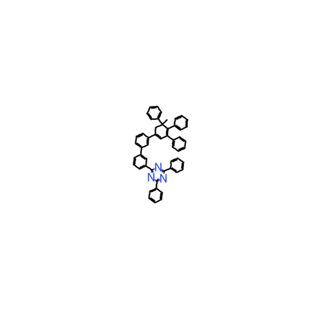 CC1(c2ccccc2)CC(c2cccc(-c3cccc(-c4nc(-c5ccccc5)nc(-c5ccccc5)n4)c3)c2)=CC(c2ccccc2)=C1c1ccccc1